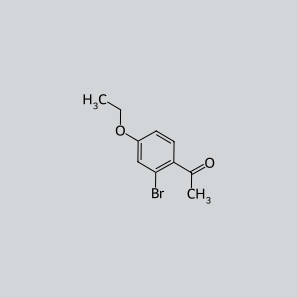 CCOc1ccc(C(C)=O)c(Br)c1